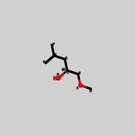 COC[C@H](O)CC(C)C